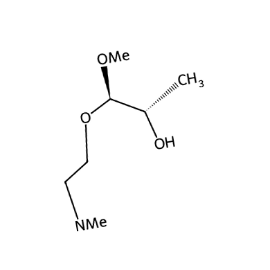 CNCCO[C@@H](OC)[C@H](C)O